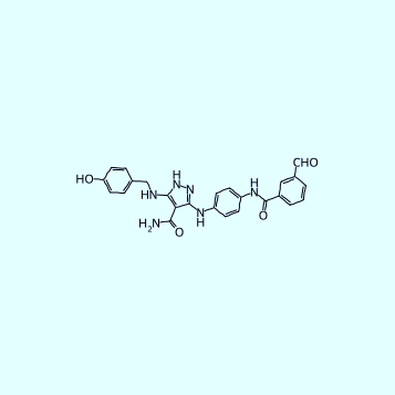 NC(=O)c1c(Nc2ccc(NC(=O)c3cccc(C=O)c3)cc2)n[nH]c1NCc1ccc(O)cc1